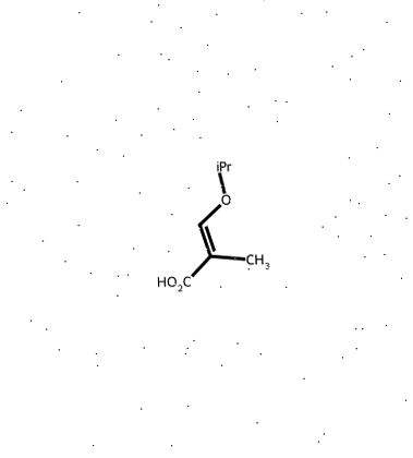 [CH2]C(C)OC=C(C)C(=O)O